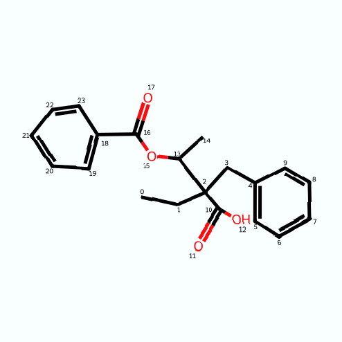 CCC(Cc1ccccc1)(C(=O)O)C(C)OC(=O)c1ccccc1